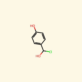 Oc1ccc(C(O)Cl)cc1